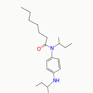 CCCCCCC(=O)N(c1ccc(NC(C)CC)cc1)C(C)CC